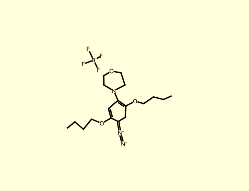 CCCCOC1=CC(N2CCOCC2)=C(OCCCC)CC1=[N+]=[N-].F[B-](F)(F)F